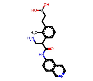 Cc1c(CCB(O)O)cccc1C(CN)C(=O)Nc1ccc2cnccc2c1